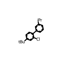 CC(C)c1cccc(-c2ccc(C(C)(C)C)cc2Cl)c1